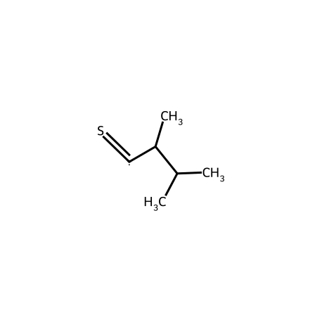 CC(C)C(C)[C]=S